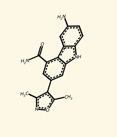 Cc1noc(C)c1-c1cc(C(N)=O)c2c(c1)[nH]c1ccc(N)cc12